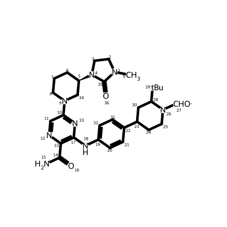 CN1CCN([C@@H]2CCCN(c3cnc(C(N)=O)c(Nc4ccc(C5CCN([C]=O)C(C(C)(C)C)C5)cc4)n3)C2)C1=O